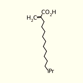 C=C(CCCCCCCCCCC(C)C)C(=O)O